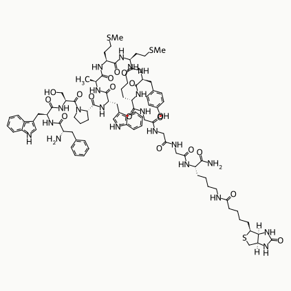 CSCC[C@H](NC(=O)[C@H](C)NC(=O)[C@H](Cc1c[nH]c2ccccc12)NC(=O)[C@@H]1CCCN1C(=O)[C@H](CO)NC(=O)[C@H](Cc1c[nH]c2ccccc12)NC(=O)[C@@H](N)Cc1ccccc1)C(=O)N[C@@H](CCSC)C(=O)N[C@@H](Cc1ccc(O)cc1)C(=O)N[C@@H](CCCCN)C(=O)NCC(=O)NCC(=O)NCC(=O)N[C@@H](CCCCNC(=O)CCCC[C@@H]1SC[C@@H]2NC(=O)N[C@@H]21)C(N)=O